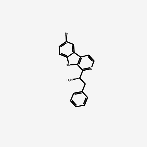 N[C@H](Cc1ccccc1)c1nccc2c1[nH]c1ccc(Br)cc12